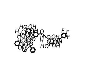 CCC1CC(C(=O)NCCO[C@H]2OC(CO)[C@@H](O)C(n3cc(-c4cc(F)c(F)c(F)c4)nn3)C2O)C[C@@H](O[C@@H]2OC(CO)[C@H](O)C(O[C@@H](CC3CCCCC3)C(=O)N3CCC3)C2OC(=O)c2ccccc2)C1O[C@@H]1OC(C)[C@@H](O)C(O)C1O